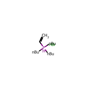 Br.C=C[PH](CCCC)(CCCC)CCCC